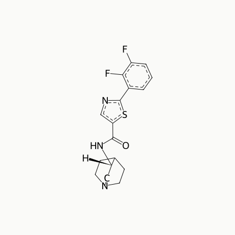 O=C(N[C@H]1CN2CCC1CC2)c1cnc(-c2cccc(F)c2F)s1